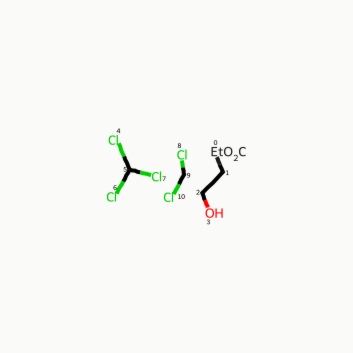 CCOC(=O)CCO.ClC(Cl)Cl.ClCCl